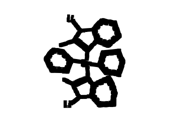 [Li][CH]1C(C)=C([Si](C2=C(C)[CH]([Li])c3ccccc32)(c2ccccc2)c2ccccc2)c2ccccc21